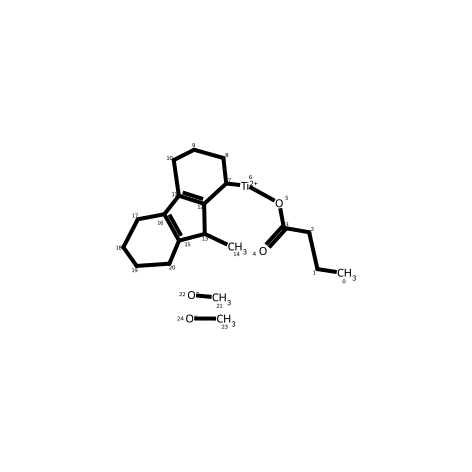 CCCC(=O)[O][Ti+2][CH]1CCCC2=C1C(C)C1=C2CCCC1.C[O-].C[O-]